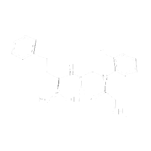 C=CC(=O)N(CC(=O)NC(CCc1ccccc1)B(O)O)c1ccccc1F